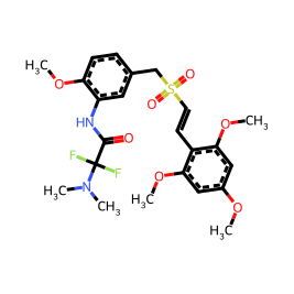 COc1cc(OC)c(C=CS(=O)(=O)Cc2ccc(OC)c(NC(=O)C(F)(F)N(C)C)c2)c(OC)c1